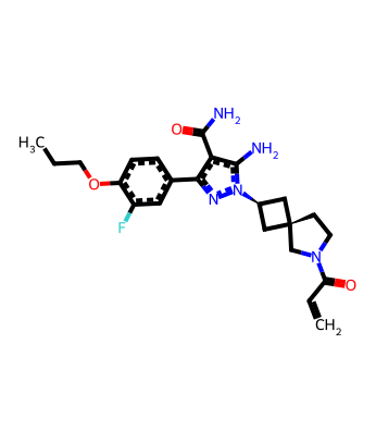 C=CC(=O)N1CC[C@]2(C1)C[C@H](n1nc(-c3ccc(OCCC)c(F)c3)c(C(N)=O)c1N)C2